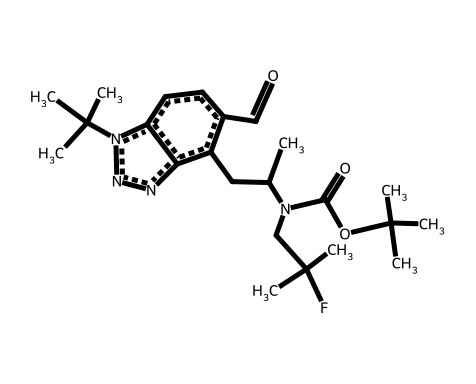 CC(Cc1c(C=O)ccc2c1nnn2C(C)(C)C)N(CC(C)(C)F)C(=O)OC(C)(C)C